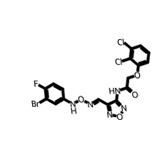 O=C(COc1cccc(Cl)c1Cl)Nc1nonc1/C=N/ONc1ccc(F)c(Br)c1